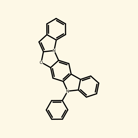 c1ccc(-n2c3ccccc3c3cc4c(cc32)oc2cc3ccccc3n24)cc1